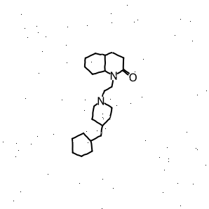 O=C1CCC2CCCCC2N1CCN1CCC(CC2CCCCC2)CC1